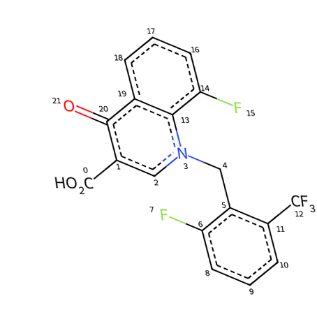 O=C(O)c1cn(Cc2c(F)cccc2C(F)(F)F)c2c(F)cccc2c1=O